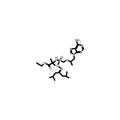 CCOC(=O)C(C)(C)NP(=O)(COC(C)Cn1cnc2c(N)ncnc21)ON=C(CC(C)C)CC(C)C